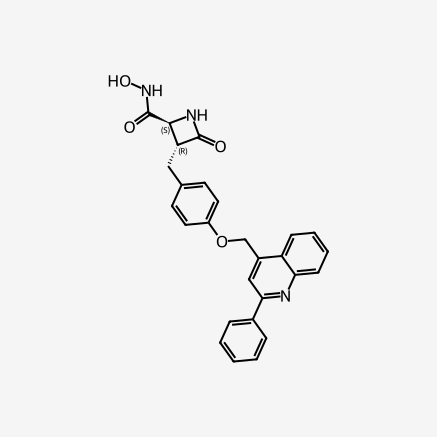 O=C(NO)[C@H]1NC(=O)[C@@H]1Cc1ccc(OCc2cc(-c3ccccc3)nc3ccccc23)cc1